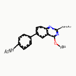 CCCCOc1nc(NC(C)=O)nc2ccc(-c3ccc(NC(C)=O)cc3)cc12